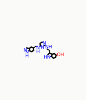 Oc1ccc2[nH]cc(CCNc3nccc(NCc4ccc5[nH]ncc5c4)n3)c2c1